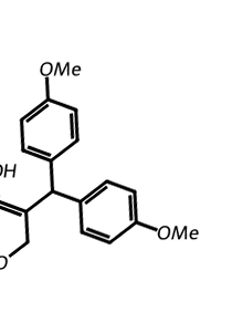 COc1ccc(C(C2=C(O)C=COC2)c2ccc(OC)cc2)cc1